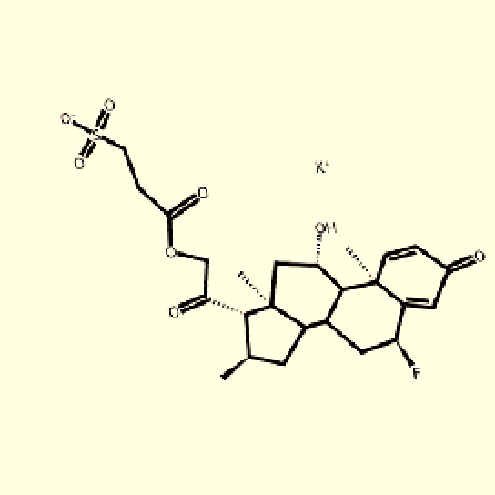 C[C@@H]1CC2C3C[C@H](F)C4=CC(=O)C=C[C@]4(C)C3[C@@H](O)C[C@]2(C)[C@H]1C(=O)COC(=O)CCS(=O)(=O)[O-].[K+]